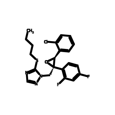 CCCCSc1ncnn1C[C@]1(c2ccc(F)cc2F)O[C@H]1c1ccccc1Cl